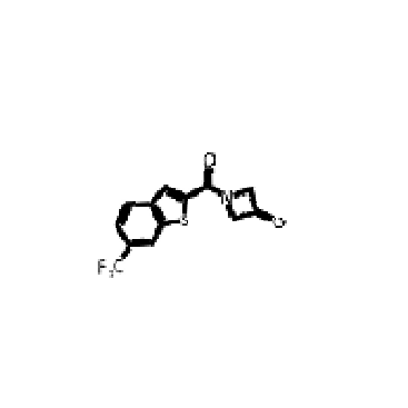 O=C1CN(C(=O)c2cc3ccc(C(F)(F)F)cc3s2)C1